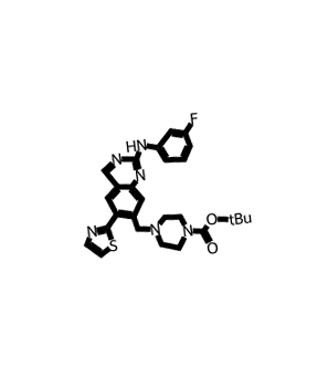 CC(C)(C)OC(=O)N1CCN(Cc2cc3nc(Nc4cccc(F)c4)ncc3cc2-c2nccs2)CC1